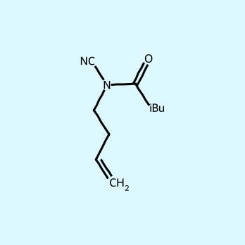 C=CCCN(C#N)C(=O)C(C)CC